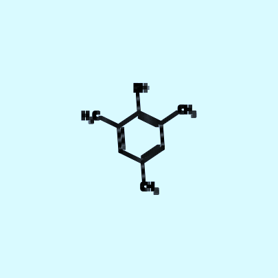 [BH]c1c(C)cc(C)cc1C